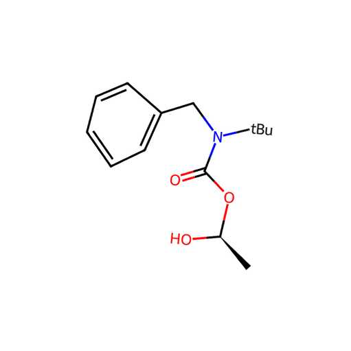 C[C@@H](O)OC(=O)N(Cc1ccccc1)C(C)(C)C